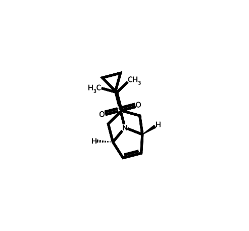 CC(C)C1C[C@@H]2C=C[C@@H](C1)N2S(=O)(=O)C1CC1